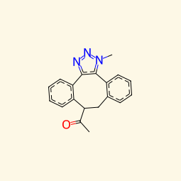 CC(=O)C1Cc2ccccc2-c2c(nnn2C)-c2ccccc21